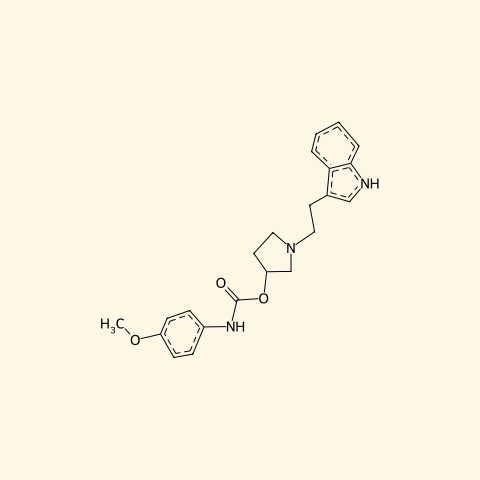 COc1ccc(NC(=O)OC2CCN(CCc3c[nH]c4ccccc34)C2)cc1